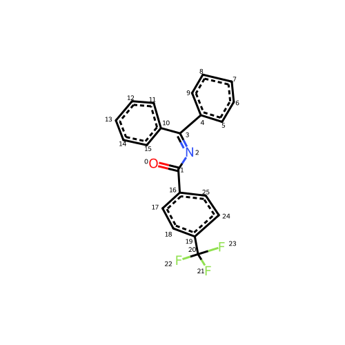 O=C(N=C(c1ccccc1)c1ccccc1)c1ccc(C(F)(F)F)cc1